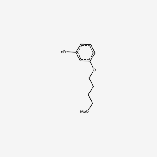 C[CH]Cc1cccc(OCCCCOC)c1